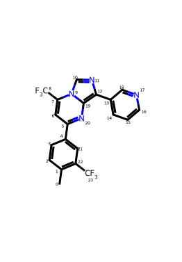 Cc1ccc(-c2cc(C(F)(F)F)n3cnc(-c4cccnc4)c3n2)cc1C(F)(F)F